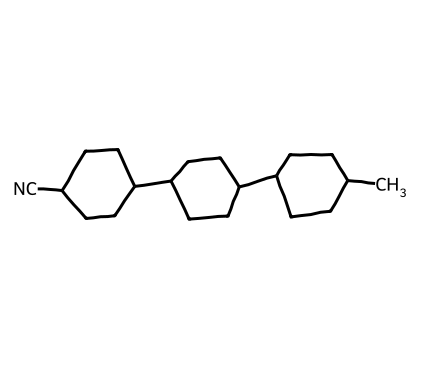 CC1CCC(C2CCC(C3CCC(C#N)CC3)CC2)CC1